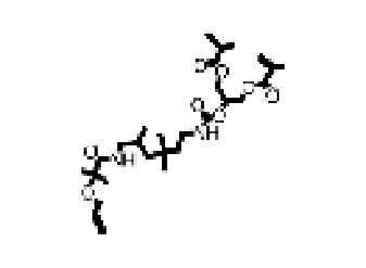 C=CCOC(C)(C)C(=O)NCC(C)CC(C)(C)CCNC(=O)OC(COC(=O)C(=C)C)COC(=O)C(=C)C